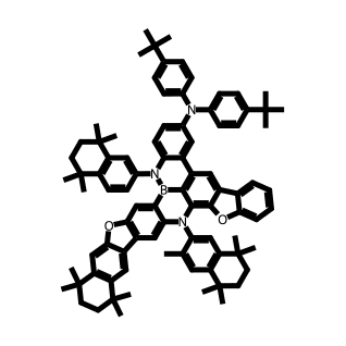 Cc1cc2c(cc1N1c3cc4c(cc3B3c5c(cc6c(oc7ccccc76)c51)-c1cc(N(c5ccc(C(C)(C)C)cc5)c5ccc(C(C)(C)C)cc5)ccc1N3c1ccc3c(c1)C(C)(C)CCC3(C)C)oc1cc3c(cc14)C(C)(C)CCC3(C)C)C(C)(C)CCC2(C)C